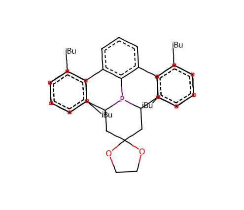 CCC(C)c1cccc(C(C)CC)c1-c1cccc(-c2c(C(C)CC)cccc2C(C)CC)c1P1C(c2ccccc2)CC2(CC1c1ccccc1)OCCO2